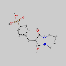 O=C1C(Cc2ccc(S(=O)(=O)O)cc2)C(=O)N2CCCCN12